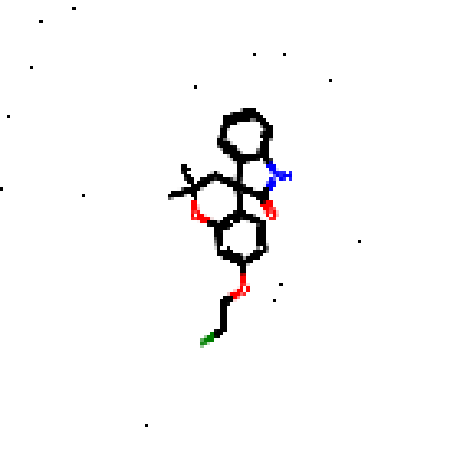 CC1(C)CC2(C(=O)Nc3ccccc32)c2ccc(OCCF)cc2O1